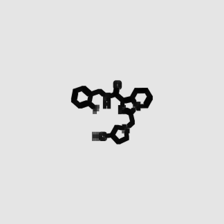 O=C(NCc1ccccc1F)c1nc(CN2CCC(O)C2)n2ccccc12